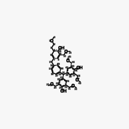 COCCC(C)/C=C(\C=C(/CO)COC)CC1=C=CC=C(C(c2cc(COC)c(O)c(COC)c2)c2cc(COC)c(O)c(COC)c2)C=C1